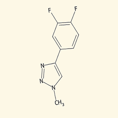 Cn1cc(-c2ccc(F)c(F)c2)nn1